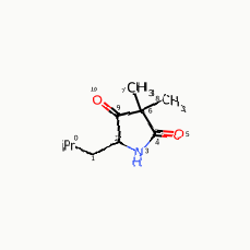 CC(C)CC1NC(=O)C(C)(C)C1=O